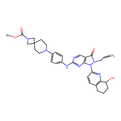 C=CCn1c(=O)c2cnc(Nc3ccc(N4CCC5(CC4)CN(C(=O)OC(C)(C)C)C5)cc3)nc2n1-c1ccc2c(n1)C(O)CCC2